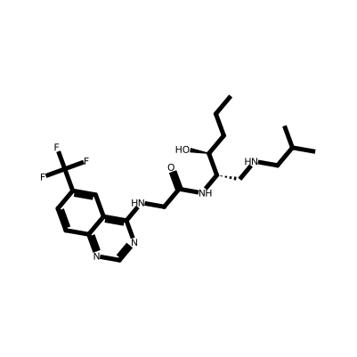 CCC[C@H](O)[C@H](CNCC(C)C)NC(=O)CNc1ncnc2ccc(C(F)(F)F)cc12